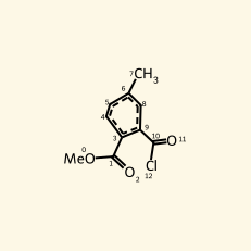 COC(=O)c1ccc(C)cc1C(=O)Cl